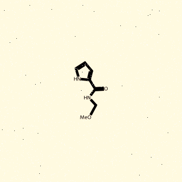 COCNC(=O)c1ccc[nH]1